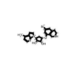 Cc1ccnc2c1ccn2[C@@H]1C[C@H](Oc2cc(Br)cc3c2CNCC3)[C@@H](O)[C@H]1O